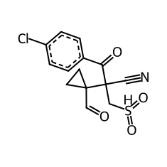 N#CC(C[SH](=O)=O)(C(=O)c1ccc(Cl)cc1)C1(C=O)CC1